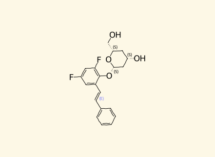 OC[C@@H]1C[C@H](O)C[C@H](Oc2c(F)cc(F)cc2/C=C/c2ccccc2)O1